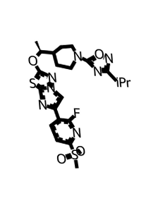 CC(C)c1noc(N2CCC([C@H](C)Oc3nn4cc(-c5ccc(S(C)(=O)=O)nc5F)nc4s3)CC2)n1